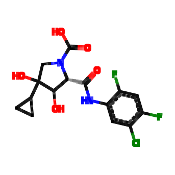 O=C(Nc1cc(Cl)c(F)cc1F)[C@@H]1C(O)C(O)(C2CC2)CN1C(=O)O